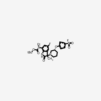 CCN(C(=O)OC(C)(C)C)c1cc(F)cc2c1NC(=O)C2(C)N1CCC[C@@H](Oc2ccc(S(=O)(=O)F)cc2)C1